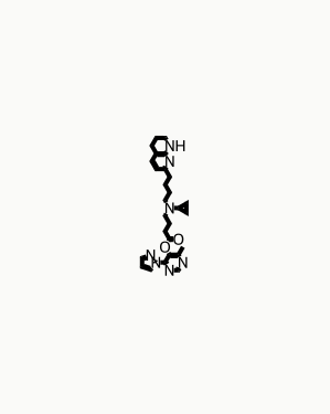 Cc1ncnc(-n2cccn2)c1OC(=O)CCCN(CCCCc1ccc2c(n1)NCCC2)C1CC1